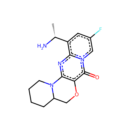 C[C@@H](N)c1cc(F)cn2c(=O)c3c(nc12)N1CCCCC1CO3